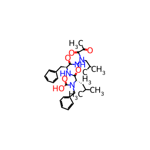 CC(=O)C(=O)N(CC(C)C)NC(=O)[C@H](Cc1ccccc1)NC(=O)[C@H](CC(C)C)N(Cc1ccccc1)C(=O)O